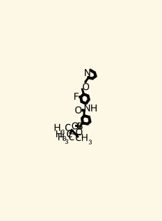 CC1(C)OB(c2cccc(C(=O)Nc3ccc(COCc4ccccn4)c(F)c3)c2)OC1(C)C